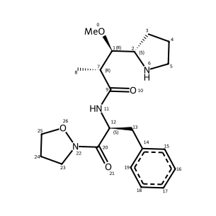 CO[C@@H]([C@@H]1CCCN1)[C@@H](C)C(=O)N[C@@H](Cc1ccccc1)C(=O)N1CCCO1